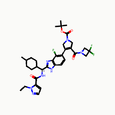 CCn1nccc1C(=O)N[C@H](c1nc2c(F)c(C3=C(C(=O)N4CC(F)(F)C4)CN(C(=O)OC(C)(C)C)C3)ccc2[nH]1)C1CCC(C)CC1